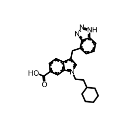 O=C(O)c1ccc2c(Cc3cccc4[nH]nnc34)cn(CCC3CCCCC3)c2c1